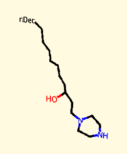 CCCCCCCCCCCCCCCCCC(O)CCN1CCNCC1